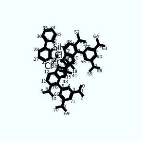 CC(C)c1cc(-c2c(C(C)C)ccc3c2C=C(C(C)(C)C)[CH]3[Zr]([Cl])([Cl])([c]2cccc3c2[SiH2]c2ccccc2-3)[CH]2C(C(C)(C)C)=Cc3c2ccc(C(C)C)c3-c2cc(C(C)C)cc(C(C)C)c2)cc(C(C)C)c1